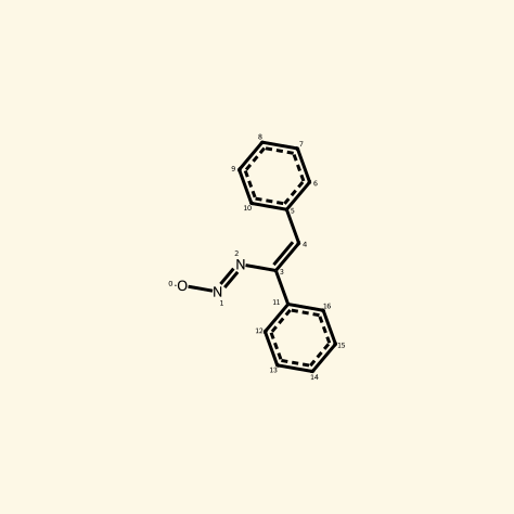 [O]N=NC(=Cc1ccccc1)c1ccccc1